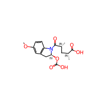 COc1ccc2c(c1)C[C@H](OC(=O)O)N2C(=O)[C@H](C)C[C@@H](C)C(=O)O